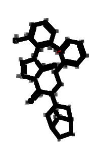 CN1C2CCC1CC(N(CCc1ccccc1)C(=O)n1nnn(-c3c(Cl)cccc3Cl)c1=O)C2